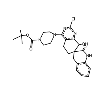 CC(C)(C)OC(=O)N1CCN(c2nc(Cl)nc3c2CCC2(Cc4ccccc4NC2=O)C3O)CC1